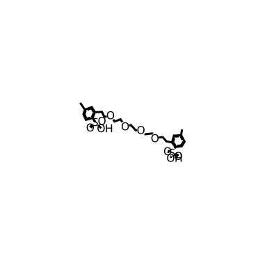 Cc1ccc(S(=O)(=O)O)c(CCOCCOCCOCCOCCc2cc(C)ccc2S(=O)(=O)O)c1